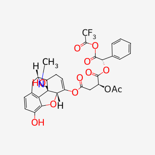 CC(=O)O[C@@H](CC(=O)OC1=CC[C@@]2(O)[C@H]3Cc4ccc(O)c5c4[C@@]2(CCN3C)[C@H]1O5)C(=O)O[C@H](C(=O)OC(=O)C(F)(F)F)c1ccccc1